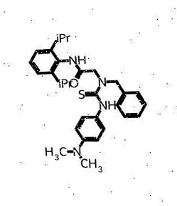 CC(C)c1cccc(C(C)C)c1NC(=O)CN(Cc1ccccc1)C(=S)Nc1ccc(N(C)C)cc1